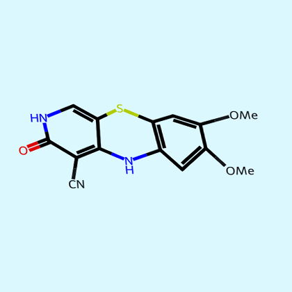 COc1cc2c(cc1OC)Sc1c[nH]c(=O)c(C#N)c1N2